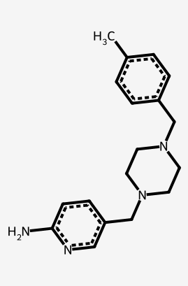 Cc1ccc(CN2CCN(Cc3ccc(N)nc3)CC2)cc1